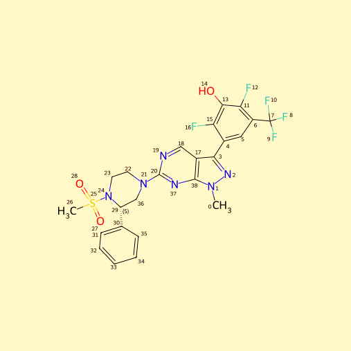 Cn1nc(-c2cc(C(F)(F)F)c(F)c(O)c2F)c2cnc(N3CCN(S(C)(=O)=O)[C@@H](c4ccccc4)C3)nc21